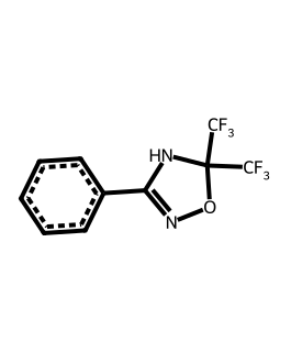 FC(F)(F)C1(C(F)(F)F)NC(c2ccccc2)=NO1